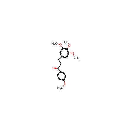 COc1ccc(C(=O)CCc2cc(OC)c(OC)c(OC)c2)cc1